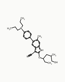 CCCN(CCC)c1ccc(-c2cc3c(C#N)c(OC(CC)CC(C)CO)[nH]c3cc2C)cc1